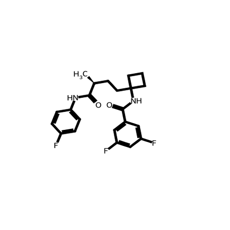 C[C@@H](CCC1(NC(=O)c2cc(F)cc(F)c2)CCC1)C(=O)Nc1ccc(F)cc1